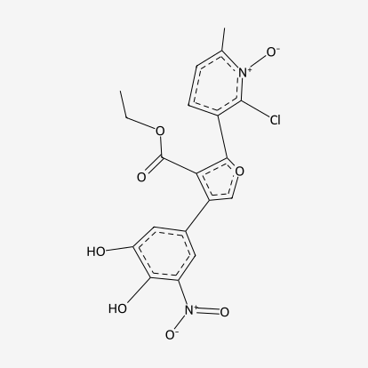 CCOC(=O)c1c(-c2cc(O)c(O)c([N+](=O)[O-])c2)coc1-c1ccc(C)[n+]([O-])c1Cl